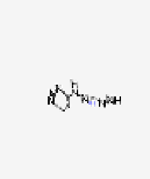 N=N/C=N/Nc1ccnnn1